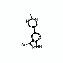 CC(=O)c1n[nH]c2ccc(-c3cnc(C)nc3)cc12